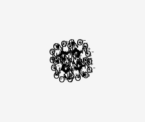 O=[N+]([O-])c1n[n]([Al-]([n]2nc([N+](=O)[O-])c([N+](=O)[O-])c2[N+](=O)[O-])([n]2nc([N+](=O)[O-])c([N+](=O)[O-])c2[N+](=O)[O-])[n]2nc([N+](=O)[O-])c([N+](=O)[O-])c2[N+](=O)[O-])c([N+](=O)[O-])c1[N+](=O)[O-]